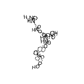 C[C@]1(C(=O)N2C(=O)[C@]23CCC[C@]2(C)c4cc(O)ccc4CCC32)CCC[C@]2(C)c3cc(NC(=O)[C@H](CCC(=O)O)NC(=O)OCc4ccc(NC(=O)CCCCNC(N)=O)cc4)ccc3CCC12